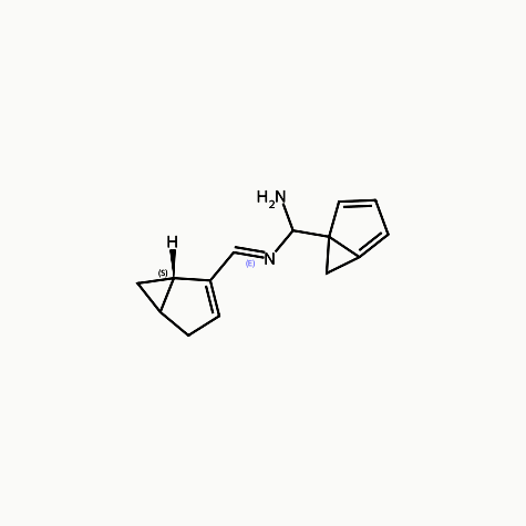 NC(/N=C/C1=CCC2C[C@H]12)C12C=CC=C1C2